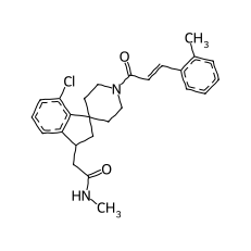 CNC(=O)CC1CC2(CCN(C(=O)/C=C/c3ccccc3C)CC2)c2c(Cl)cccc21